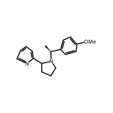 COc1ccc([C@H](C)N2CCCC2c2ccccn2)cc1